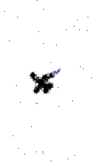 CC(=O)C/C=C/c1ccc(Cc2cccc([C@@H]3O[C@H](COCc4ccccc4)C(OCc4ccccc4)[C@H](OCc4ccccc4)[C@H]3OCc3ccccc3)c2)cc1